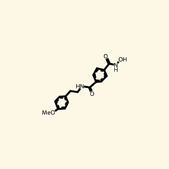 COc1ccc(CCNC(=O)c2ccc(C(=O)NO)cc2)cc1